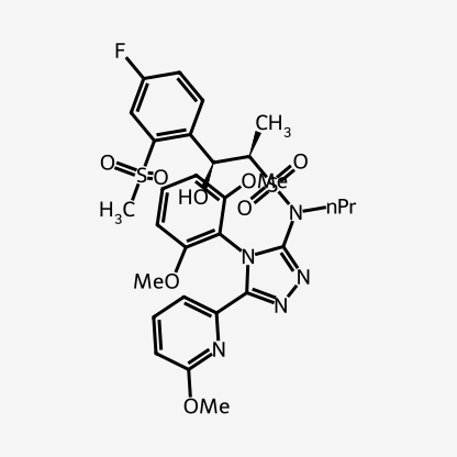 CCCN(c1nnc(-c2cccc(OC)n2)n1-c1c(OC)cccc1OC)S(=O)(=O)[C@H](C)[C@@H](O)c1ccc(F)cc1S(C)(=O)=O